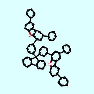 c1ccc(-c2ccc3oc4c(-c5cccc(C6(c7cccc(-c8cc(-c9ccccc9)cc9c8oc8ccc(-c%10ccccc%10)cc89)c7)c7ccccc7-c7ccccc76)c5)cc(-c5ccccc5)cc4c3c2)cc1